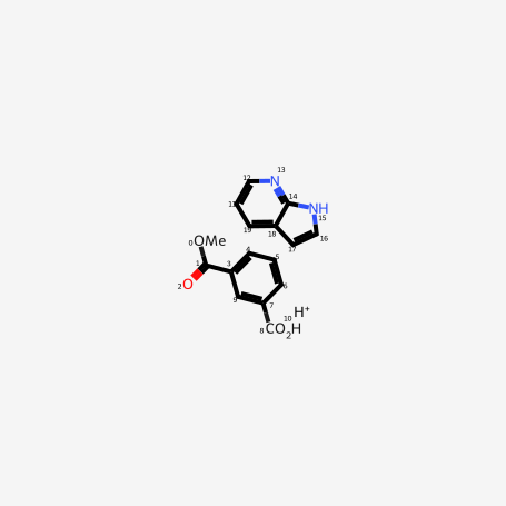 COC(=O)c1cccc(C(=O)O)c1.[H+].c1cnc2[nH]ccc2c1